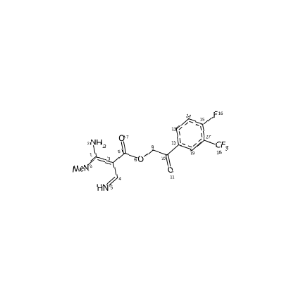 CN/C(N)=C(\C=N)C(=O)OCC(=O)c1ccc(F)c(C(F)(F)F)c1